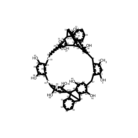 Cc1cc(O)c2cc1Cc1cc(O)c3c(c1O)C1c4ccccc4C3c3c(O)c(cc(O)c31)Cc1cc(c(O)cc1O)Cc1cc(O)c3c(c1O)C1c4ccccc4C3c3c(O)c(cc(O)c31)C2